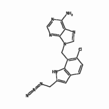 [N-]=[N+]=NCc1cc2ccc(Cl)c(Cn3cnc4c(N)ncnc43)c2[nH]1